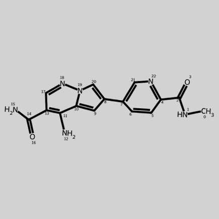 CNC(=O)c1ccc(-c2cc3c(N)c(C(N)=O)cnn3c2)cn1